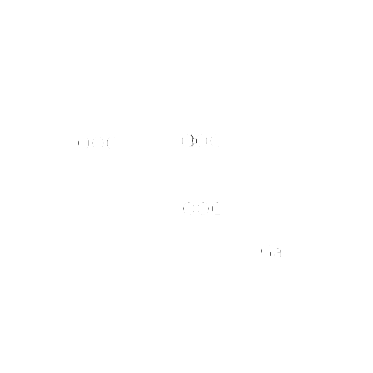 O=C([O-])C1=CCCCC1.O=C([O-])C1=CCCCC1.O=C([O-])C1=CCCCC1.[Ga+3]